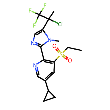 CCS(=O)(=O)c1cc(C2CC2)cnc1-c1ncc(C(C)(Cl)C(F)(F)F)n1C